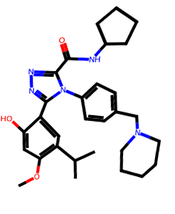 COc1cc(O)c(-c2nnc(C(=O)NC3CCCC3)n2-c2ccc(CN3CCCCC3)cc2)cc1C(C)C